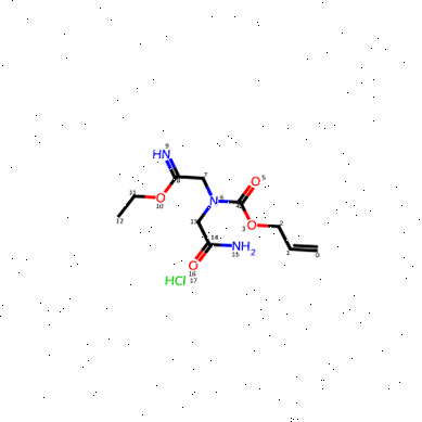 C=CCOC(=O)N(CC(=N)OCC)CC(N)=O.Cl